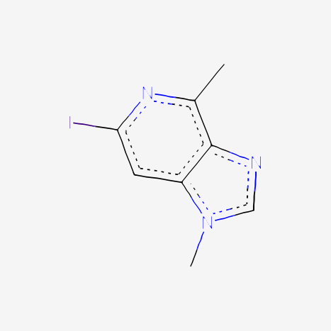 Cc1nc(I)cc2c1ncn2C